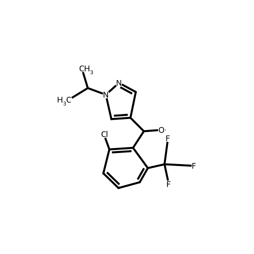 CC(C)n1cc(C([O])c2c(Cl)cccc2C(F)(F)F)cn1